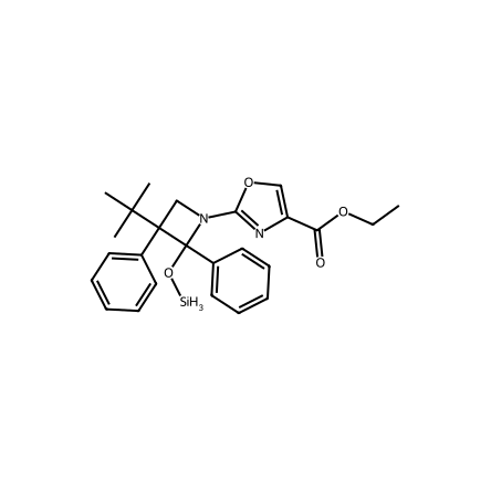 CCOC(=O)c1coc(N2CC(c3ccccc3)(C(C)(C)C)C2(O[SiH3])c2ccccc2)n1